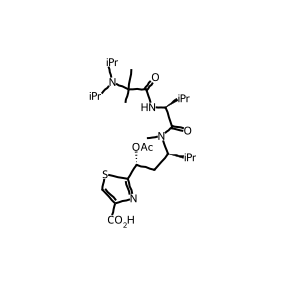 CC(=O)O[C@H](C[C@H](C(C)C)N(C)C(=O)[C@@H](NC(=O)C(C)(C)N(C(C)C)C(C)C)C(C)C)c1nc(C(=O)O)cs1